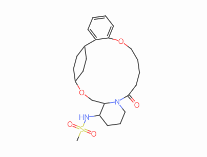 CS(=O)(=O)NC1CCCN2C(=O)CCCCOc3ccccc3C3CCC(CC3)OCC12